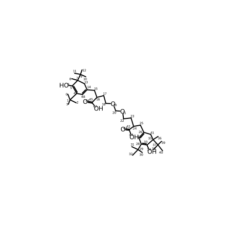 CC(C)(C)C1=C(O)C(C)(C(C)(C)C)CC(CC(CCOCOCCC(CC2=CC(C(C)(C)C)=C(O)C(C)(C(C)(C)C)C2)C(=O)O)C(=O)O)=C1